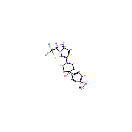 COc1ccc(C2(O)CCN(c3ccc4nnc(C(F)(F)F)n4n3)CC2)cn1